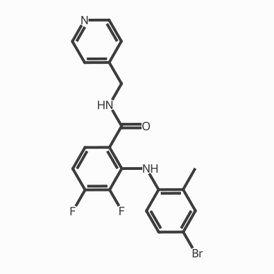 Cc1cc(Br)ccc1Nc1c(C(=O)NCc2ccncc2)ccc(F)c1F